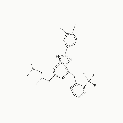 Cc1ccc(-c2nc3c(Cc4ccccc4C(F)(F)F)cc(OC(C)CN(C)C)cc3[nH]2)cc1C